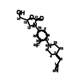 N#CC=C1CCN(c2ccc(N3CC(CO)OC3=O)cc2F)CC1